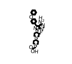 Nc1ncnc2c1c(-c1ccc(Oc3ccccc3)cc1)nn2C1CCN(C2CCN(CC(=O)O)CC2)CC1F